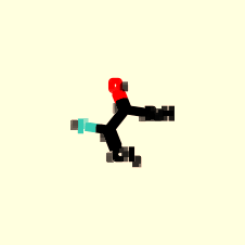 C=C(F)[C](=O)[RaH]